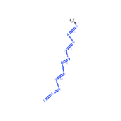 C/N=N/N=N/N=N/N=N/N=[N+]=[N-]